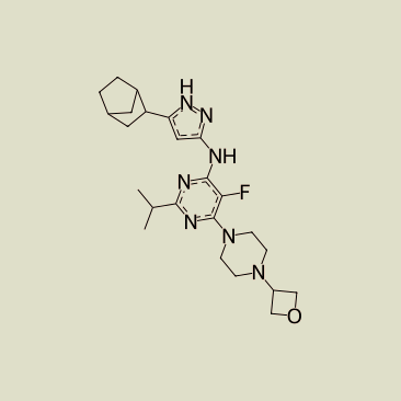 CC(C)c1nc(Nc2cc(C3CC4CCC3C4)[nH]n2)c(F)c(N2CCN(C3COC3)CC2)n1